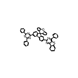 c1ccc(-c2nc(-c3ccccc3)nc(-c3ccc4c(c3)-c3ccc(-c5nc(-c6ccccc6)c6sc7ccccc7c6n5)cc3C43c4ccccc4Oc4ccccc43)n2)cc1